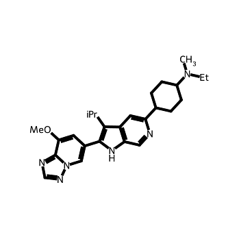 CCN(C)C1CCC(c2cc3c(C(C)C)c(-c4cc(OC)c5ncnn5c4)[nH]c3cn2)CC1